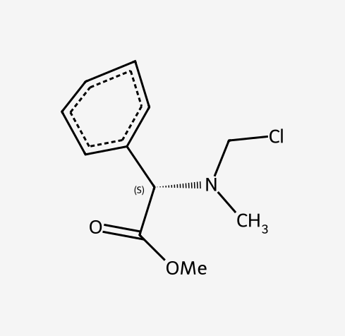 COC(=O)[C@H](c1ccccc1)N(C)CCl